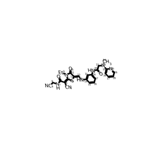 CCn1c(=C(C#N)C(=O)NCC#N)sc(=CNc2cccc(NC(=O)CN(C)c3ccccn3)c2)c1=O